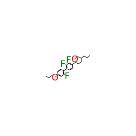 CCCOc1ccc(-c2ccc(C3CCC(CCC)CO3)c(F)c2F)c(F)c1